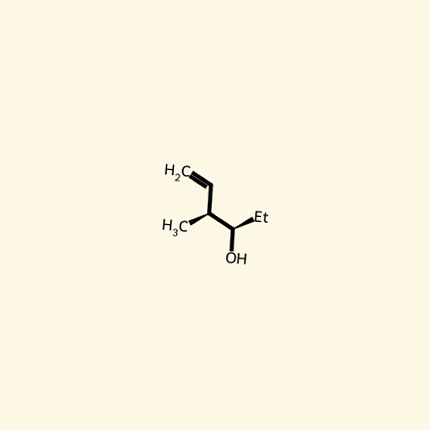 C=C[C@H](C)[C@H](O)CC